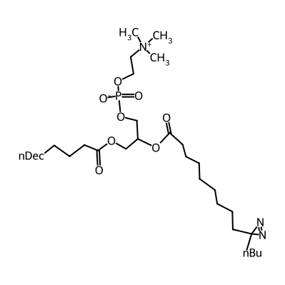 CCCCCCCCCCCCCC(=O)OCC(COP(=O)([O-])OCC[N+](C)(C)C)OC(=O)CCCCCCCCC1(CCCC)N=N1